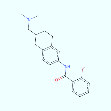 CN(C)CC1CCc2cc(NC(=O)c3ccccc3Br)ccc2C1